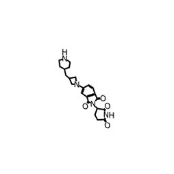 O=C1CCC(N2C(=O)c3ccc(N4CC(CC5CCNCC5)C4)cc3C2=O)C(=O)N1